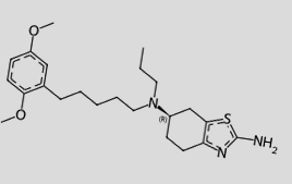 CCCN(CCCCCc1cc(OC)ccc1OC)[C@@H]1CCc2nc(N)sc2C1